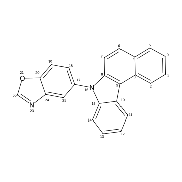 c1ccc2c(c1)ccc1c2c2ccccc2n1-c1ccc2ocnc2c1